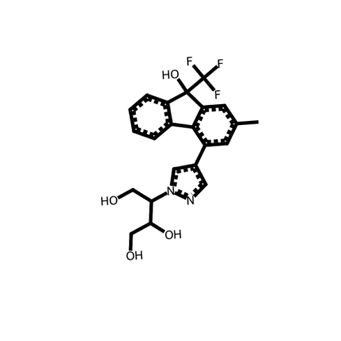 Cc1cc(-c2cnn(C(CO)C(O)CO)c2)c2c(c1)C(O)(C(F)(F)F)c1ccccc1-2